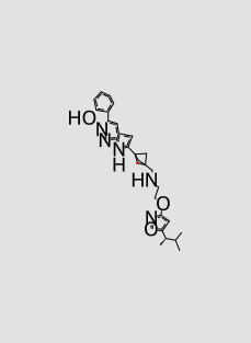 CC(C)[C@@H](C)c1cc(OCCNCC23CC(c4cc5cc(-c6ccccc6O)nnc5[nH]4)(C2)C3)no1